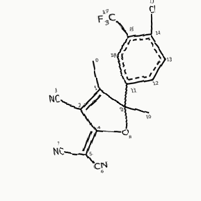 CC1=C(C#N)C(=C(C#N)C#N)OC1(C)c1ccc(Cl)c(C(F)(F)F)c1